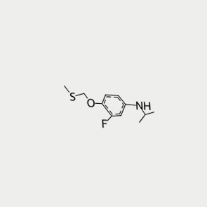 CSCOc1ccc(NC(C)C)cc1F